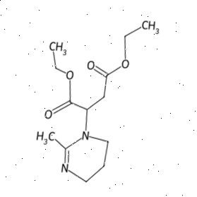 CCOC(=O)CC(C(=O)OCC)N1CCCN=C1C